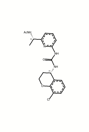 CC(=O)N[C@@H](C)c1cccc(NC(=O)N[C@H]2CCOc3c(Cl)cccc32)n1